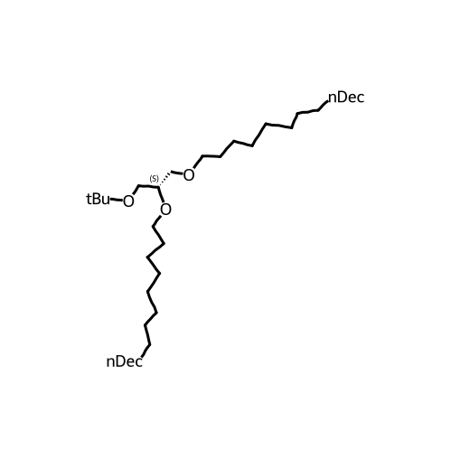 CCCCCCCCCCCCCCCCCCOC[C@@H](COC(C)(C)C)OCCCCCCCCCCCCCCCCCC